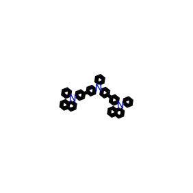 C1=CC(N(c2ccccc2)c2ccc(-c3ccc(N(c4ccccc4)c4ccc(-c5ccc(N(c6ccccc6)c6cccc7ccccc67)cc5)cc4)cc3)cc2)c2ccccc2C1